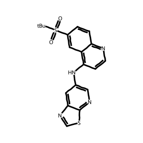 CC(C)(C)S(=O)(=O)c1ccc2nccc(Nc3cnc4scnc4c3)c2c1